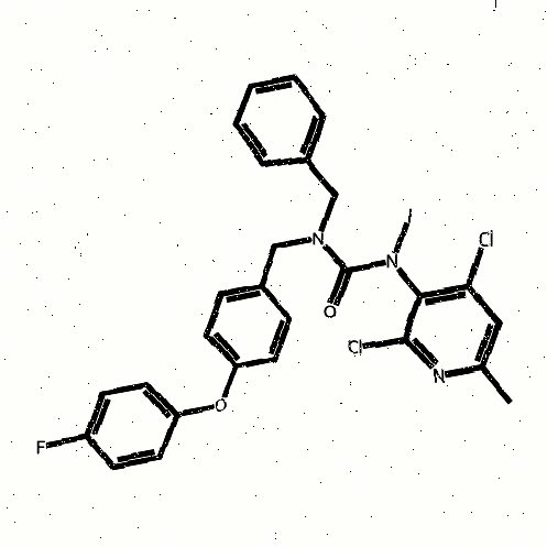 Cc1cc(Cl)c(N(I)C(=O)N(Cc2ccccc2)Cc2ccc(Oc3ccc(F)cc3)cc2)c(Cl)n1